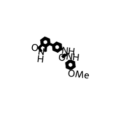 COc1ccc(NC(=O)Nc2ccc(-c3cccc4c3CNC4=O)cc2)cc1